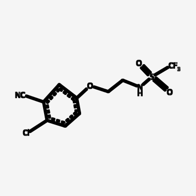 N#Cc1cc(OCCNS(=O)(=O)C(F)(F)F)ccc1Cl